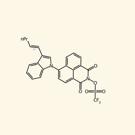 CCC/C=C/c1cn(-c2ccc3c4c(cccc24)C(=O)N(OS(=O)(=O)C(F)(F)F)C3=O)c2ccccc12